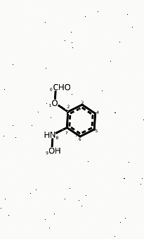 O=COc1ccccc1NO